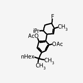 CCCCCCC(C)(C)c1cc(OC(C)=O)c(C2C=C(C)C(F)CC2C(C)C)c(OC(C)=O)c1